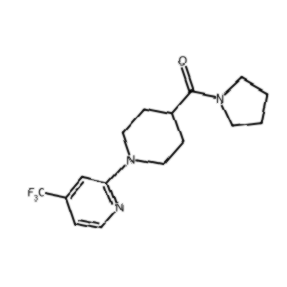 O=C(C1CCN(c2cc(C(F)(F)F)ccn2)CC1)N1CCCC1